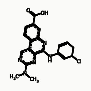 CN(C)c1ncc2c(n1)c(NC1=CC(Cl)CC=C1)nc1cc(C(=O)O)ccc12